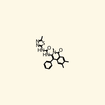 Cc1nnc(NC(=O)Nc2c(-c3ccccc3)c3cc(C)c(C)cc3c(=O)n2C)s1